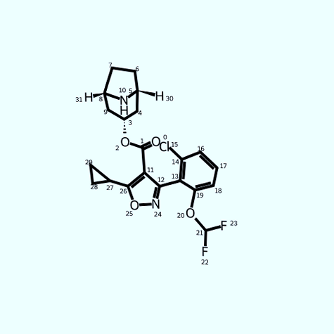 O=C(O[C@H]1C[C@H]2CC[C@@H](C1)N2)c1c(-c2c(Cl)cccc2OC(F)F)noc1C1CC1